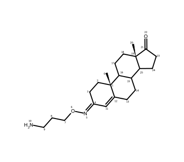 C[C@]12CCC(=NOCCCN)C=C1CCC1C2CC[C@]2(C)C(=O)CCC12